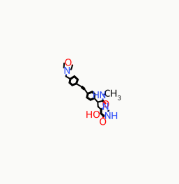 CNC(=O)C(Cc1nc[nH]c(=O)c1O)c1ccc(C#Cc2ccc(CN3CCOCC3)cc2)cc1